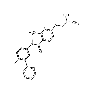 Cc1nc(NC[C@@H](C)O)ccc1C(=O)Nc1ccc(I)c(-c2ccccn2)c1